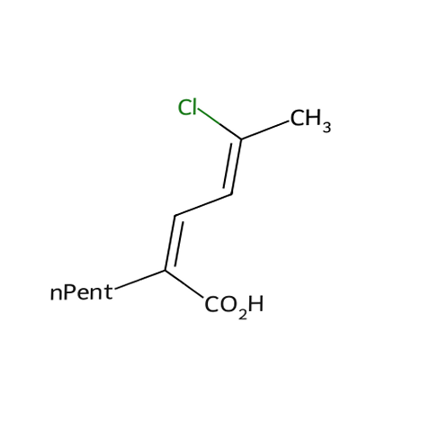 CCCCCC(=CC=C(C)Cl)C(=O)O